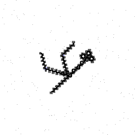 CCCCCCCC/C=C\CCCCCCCCOCC(OCCCCCCCC/C=C\CCCCCCCC)C(CCCCCCCCCCCC)OCCOCCOCCOCCOC(c1ccccc1)(c1ccccc1)c1ccccc1